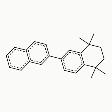 CC1(C)CCC(C)(C)c2cc(-c3ccc4ccccc4c3)ccc21